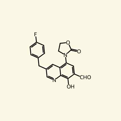 O=Cc1cc(N2CCOC2=O)c2cc(Cc3ccc(F)cc3)cnc2c1O